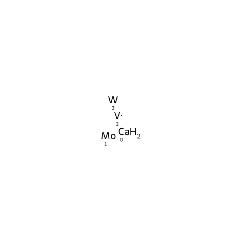 [CaH2].[Mo].[V].[W]